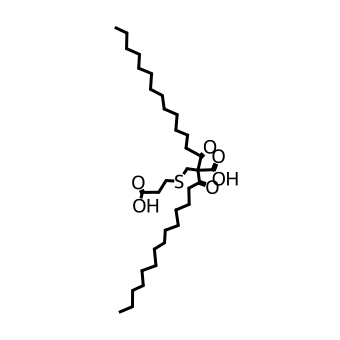 CCCCCCCCCCCCCC(=O)C(CSCCC(=O)O)(C(=O)O)C(=O)CCCCCCCCCCCCC